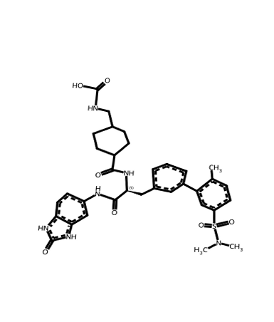 Cc1ccc(S(=O)(=O)N(C)C)cc1-c1cccc(C[C@H](NC(=O)C2CCC(CNC(=O)O)CC2)C(=O)Nc2ccc3[nH]c(=O)[nH]c3c2)c1